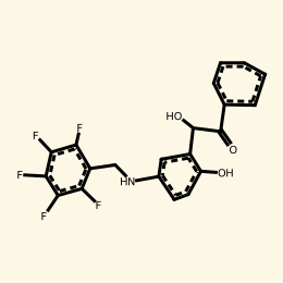 O=C(c1ccccc1)C(O)c1cc(NCc2c(F)c(F)c(F)c(F)c2F)ccc1O